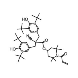 C=CC(=O)N1C(C)(C)CC(OC(=O)C(C#N)(Cc2cc(C(C)(C)C)c(O)c(C(C)(C)C)c2)Cc2cc(C(C)(C)C)c(O)c(C(C)(C)C)c2)CC1(C)C